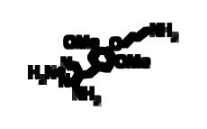 COc1cc(Cc2cnc(N)nc2N)cc(OC)c1OCCCCN